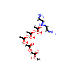 CC(=O)O.CC(=O)O.CC(=O)O.CC(=O)O.CC(=O)O.NCCNCCN.[Ru]